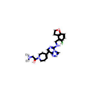 CCN(CC)CC(=O)N1CCC=C(c2cnc(NCc3c(F)ccc4c3CCO4)n3cnnc23)CC1